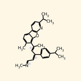 C/N=C/C=C(\C=C(/C)c1c(C)ccc2c1oc1nc(C(C)C)ccc12)c1ccc(C(C)C)cc1